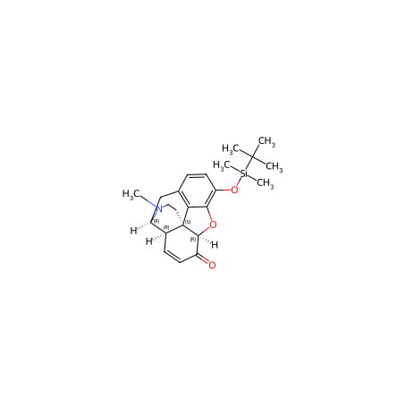 CN1CC[C@]23c4c5ccc(O[Si](C)(C)C(C)(C)C)c4O[C@H]2C(=O)C=C[C@H]3[C@H]1C5